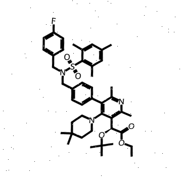 CCOC(=O)[C@@H](OC(C)(C)C)c1c(C)nc(C)c(-c2ccc(CN(Cc3ccc(F)cc3)S(=O)(=O)c3c(C)cc(C)cc3C)cc2)c1N1CCC(C)(C)CC1